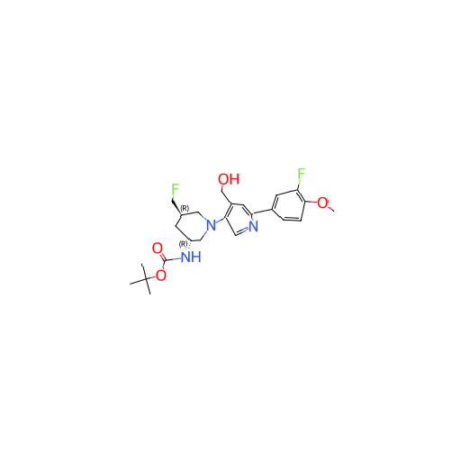 COc1ccc(-c2cc(CO)c(N3C[C@H](CF)C[C@@H](NC(=O)OC(C)(C)C)C3)cn2)cc1F